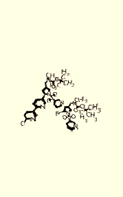 CN(Cc1cc(-c2ccc(-c3ccc(Cl)nc3)nc2)n(S(=O)(=O)c2cccnc2)c1)C(=O)OC(C)(C)C.CN(Cc1cc(Br)n(S(=O)(=O)c2cccnc2)c1)C(=O)OC(C)(C)C